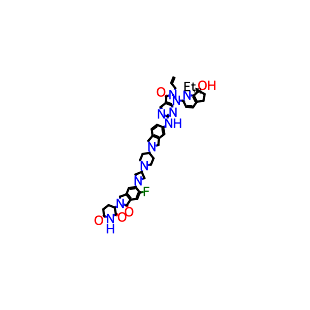 C=CCn1c(=O)c2cnc(Nc3ccc4c(c3)CN(C3CCN(C5CN(c6cc7c(cc6F)C(=O)N(C6CCC(=O)NC6=O)C7)C5)CC3)C4)nc2n1-c1ccc2c(n1)[C@@](O)(CC)CC2